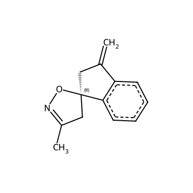 C=C1C[C@@]2(CC(C)=NO2)c2ccccc21